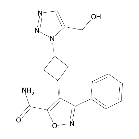 NC(=O)c1onc(-c2ccccc2)c1[C@H]1C[C@@H](n2nncc2CO)C1